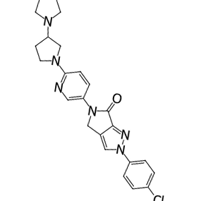 O=C1c2nn(-c3ccc(Cl)cc3)cc2CN1c1ccc(N2CCC(N3CCCC3)C2)nc1